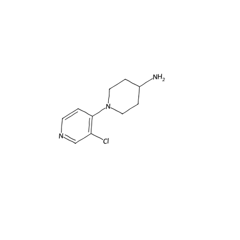 NC1CCN(c2ccncc2Cl)CC1